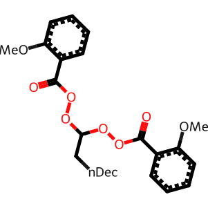 [CH2]CCCCCCCCCC[C](OOC(=O)c1ccccc1OC)OOC(=O)c1ccccc1OC